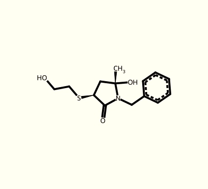 C[C@]1(O)C[C@H](SCCO)C(=O)N1Cc1ccccc1